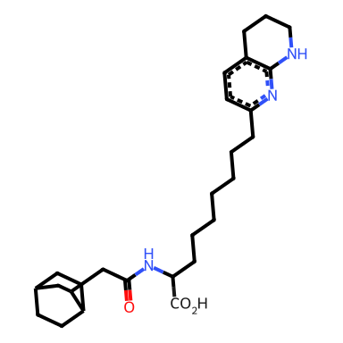 O=C(CC1CC2CCC1CC2)NC(CCCCCCCc1ccc2c(n1)NCCC2)C(=O)O